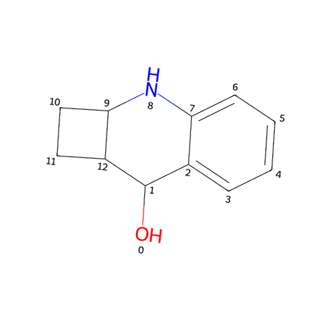 OC1c2ccccc2NC2CCC21